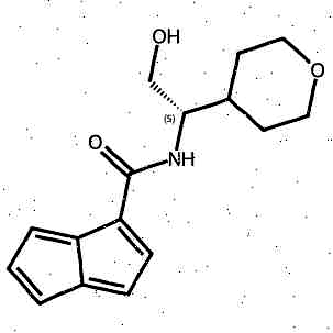 O=C(N[C@H](CO)C1CCOCC1)C1=CC=C2C=CC=C21